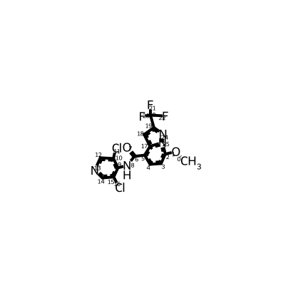 COc1ccc(C(=O)Nc2c(Cl)cncc2Cl)c2cc(C(F)(F)F)nn12